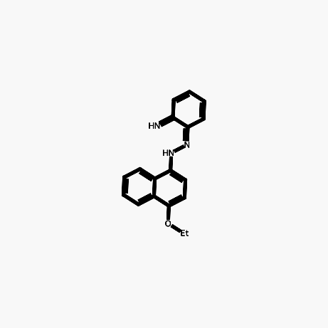 CCOc1ccc(N/N=C2/C=CC=CC2=N)c2ccccc12